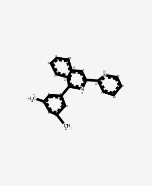 Cc1cc(C)cc(-c2nc(-c3ccccn3)cc3ccccc23)c1